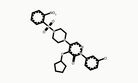 O=c1c(OC2CCCC2)c(N2CCN(S(=O)(=O)c3ccccc3[N+](=O)[O-])CC2)cnn1-c1cccc(Cl)c1